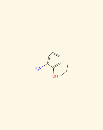 CCC.Nc1ccccc1O